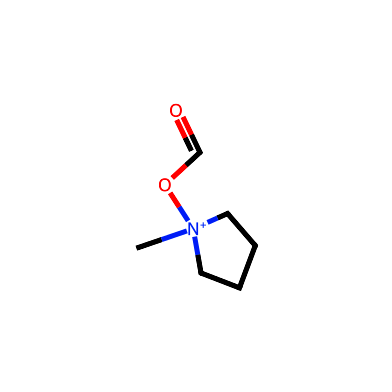 C[N+]1(OC=O)CCCC1